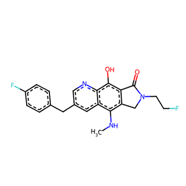 CNc1c2c(c(O)c3ncc(Cc4ccc(F)cc4)cc13)C(=O)N(CCF)C2